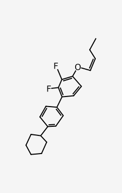 CC/C=C\Oc1ccc(-c2ccc(C3CCCCC3)cc2)c(F)c1F